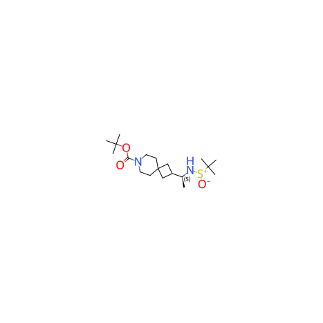 C[C@H](N[S+]([O-])C(C)(C)C)C1CC2(CCN(C(=O)OC(C)(C)C)CC2)C1